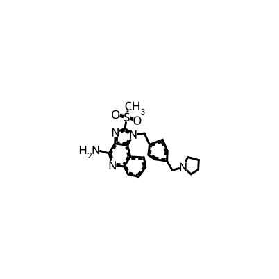 CS(=O)(=O)c1nc2c(N)nc3ccccc3c2n1Cc1ccc(CN2CCCC2)cc1